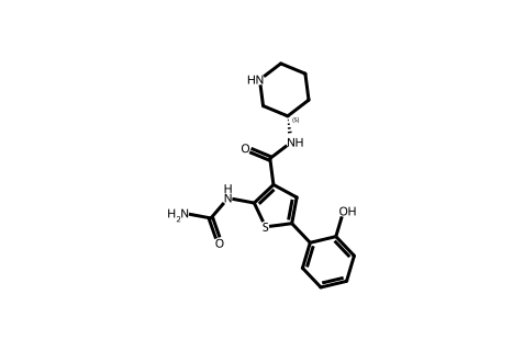 NC(=O)Nc1sc(-c2ccccc2O)cc1C(=O)N[C@H]1CCCNC1